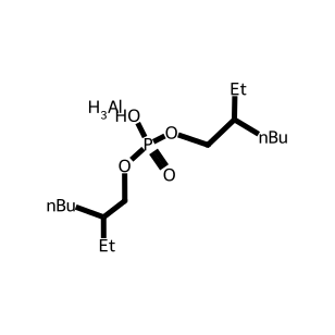 CCCCC(CC)COP(=O)(O)OCC(CC)CCCC.[AlH3]